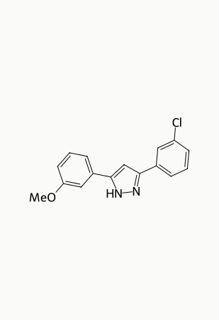 COc1cccc(-c2cc(-c3cccc(Cl)c3)n[nH]2)c1